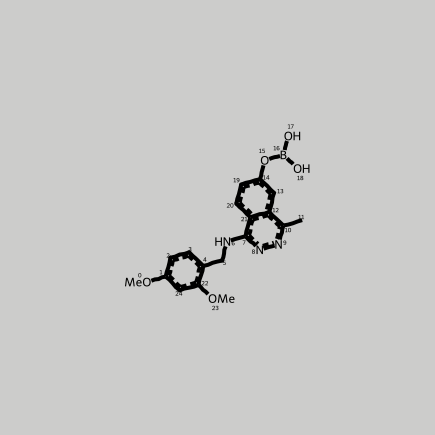 COc1ccc(CNc2nnc(C)c3cc(OB(O)O)ccc23)c(OC)c1